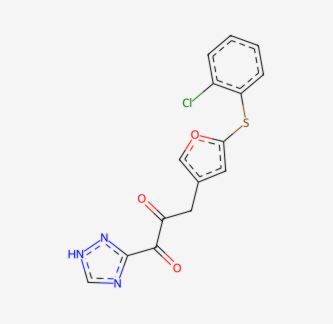 O=C(Cc1coc(Sc2ccccc2Cl)c1)C(=O)c1nc[nH]n1